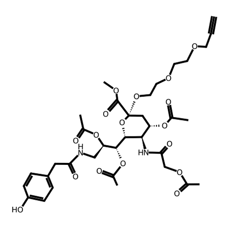 C#CCOCCOCCO[C@]1(C(=O)OC)C[C@H](OC(C)=O)[C@@H](NC(=O)COC(C)=O)[C@H]([C@H](OC(C)=O)[C@@H](CNC(=O)Cc2ccc(O)cc2)OC(C)=O)O1